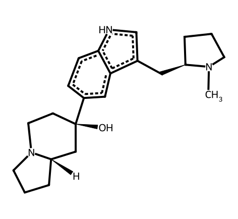 CN1CCC[C@@H]1Cc1c[nH]c2ccc([C@@]3(O)CCN4CCC[C@H]4C3)cc12